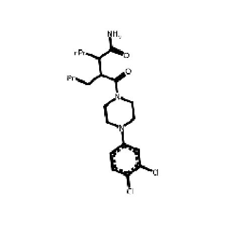 CCCC(C(N)=O)C(CC(C)C)C(=O)N1CCN(c2ccc(Cl)c(Cl)c2)CC1